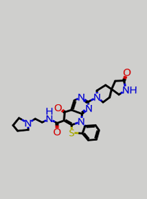 O=C1CC2(CCN(c3ncc4c(=O)c(C(=O)NCCN5CCCC5)c5sc6ccccc6n5c4n3)CC2)CN1